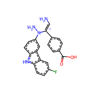 N/C=C(/c1ccc(C(=O)O)cc1)N(N)c1ccc2[nH]c3ccc(F)cc3c2c1